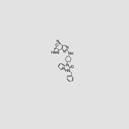 N#Cc1cnc(N[C@H]2CC[C@H](N(C(=O)NCc3ccccc3)c3ccccn3)CC2)nc1-c1n[nH]cc1Cl